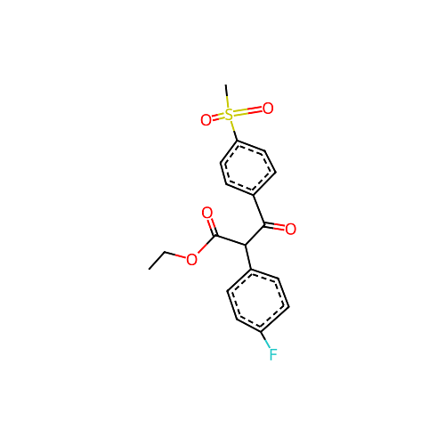 CCOC(=O)C(C(=O)c1ccc(S(C)(=O)=O)cc1)c1ccc(F)cc1